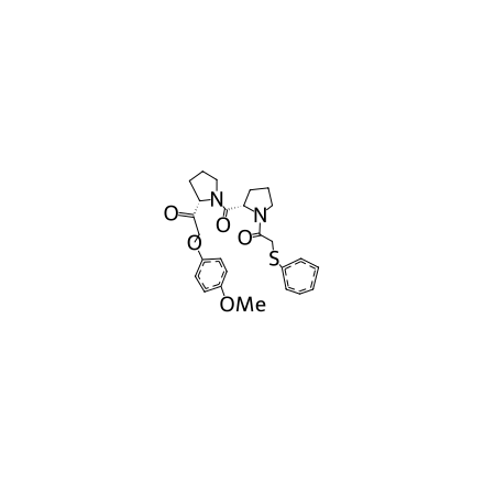 COc1ccc(OCC(=O)[C@@H]2CCCN2C(=O)[C@@H]2CCCN2C(=O)CSc2ccccc2)cc1